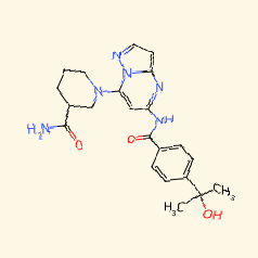 CC(C)(O)c1ccc(C(=O)Nc2cc(N3CCCC(C(N)=O)C3)n3nccc3n2)cc1